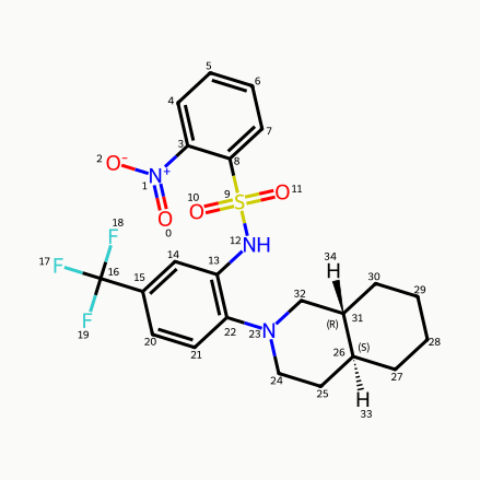 O=[N+]([O-])c1ccccc1S(=O)(=O)Nc1cc(C(F)(F)F)ccc1N1CC[C@@H]2CCCC[C@H]2C1